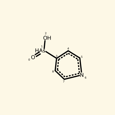 O=[AsH](O)c1ccncc1